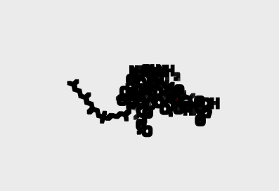 C=C(C/C=C(\C)CCC=C(C)C)CCC(C)(C)/C=C/CC/C(C)=C\CO[C@H](COP(=O)(O)O[C@H]1OC(C(N)=O)[C@@](C)(O)[C@H](OC(N)=O)C1O[C@@H]1OC(CO[C@@H]2OC(COC(C)=O)[C@@H](C)[C@H](C)C2OC(C)=O)[C@@H](O[C@@H]2OC(C)[C@@H](O[C@@H]3OC(C(=O)NC4=C(O)CCC4=O)[C@H](C)[C@H](C)C3OC(C)=O)[C@H](C)C2NC(C)=O)[C@H](C)C1NC(C)=O)C(=O)OC